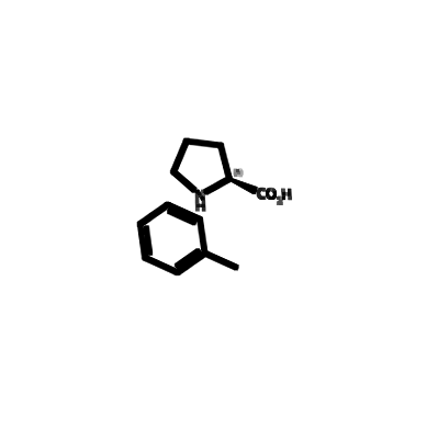 Cc1ccccc1.O=C(O)[C@@H]1CCCN1